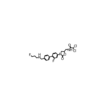 O=C(NCC1CN(c2ccc(-c3ccc(CNCCCF)cc3)c(F)c2)C(=O)O1)C(Cl)Cl